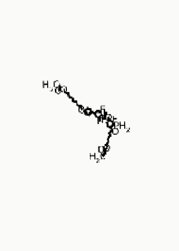 C=CC(=O)OCCCCCCCCOc1ccc(-c2cc(F)c(C(F)(F)Oc3ccc(C(=O)CCCCCOC(=O)C=C)c(P)c3F)c(F)c2)cc1